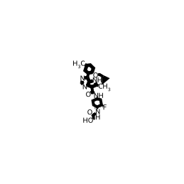 Cc1ccc(OCC2CC2)c(-c2ncnc3c(C(=O)N[C@H]4CC[C@H](NC(=O)CO)[C@H](F)C4)c(C)[nH]c23)c1